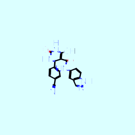 CC1=C(C(=O)Nc2ccc3[nH]ncc3c2)C(c2ccc(C#N)cc2)NC(=O)N1